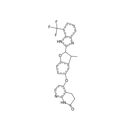 CC1c2cc(Oc3ccnc4c3CCC(=O)N4)ccc2OC1c1nc2cccc(C(F)(F)F)c2[nH]1